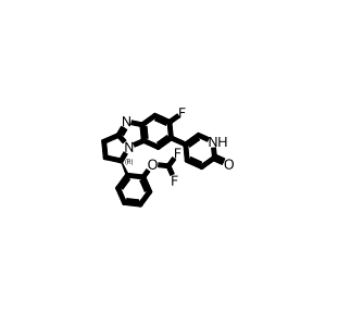 O=c1ccc(-c2cc3c(cc2F)nc2n3[C@@H](c3ccccc3OC(F)F)CC2)c[nH]1